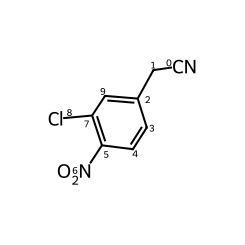 N#CCc1ccc([N+](=O)[O-])c(Cl)c1